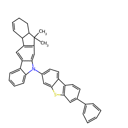 CC1(C)c2cc3c(cc2C2C=CCCC21)c1ccccc1n3-c1ccc2c(c1)sc1cc(-c3ccccc3)ccc12